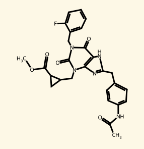 COC(=O)C1CC1Cn1c(=O)n(Cc2ccccc2F)c(=O)c2[nH]c(Cc3ccc(NC(C)=O)cc3)nc21